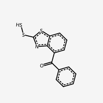 O=C(c1ccccc1)c1cccc2sc(SS)nc12